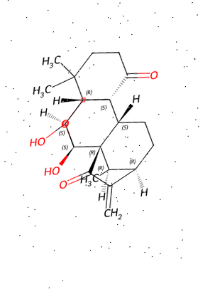 C=C1C(=O)[C@]23[C@H](C)[C@H]1CC[C@H]2[C@@]12CO[C@]3(O)[C@@H](O)[C@@H]1C(C)(C)CCC2=O